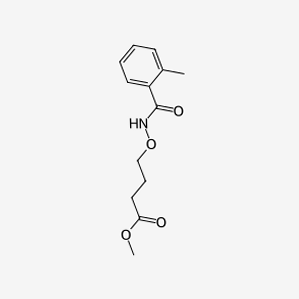 COC(=O)CCCONC(=O)c1ccccc1C